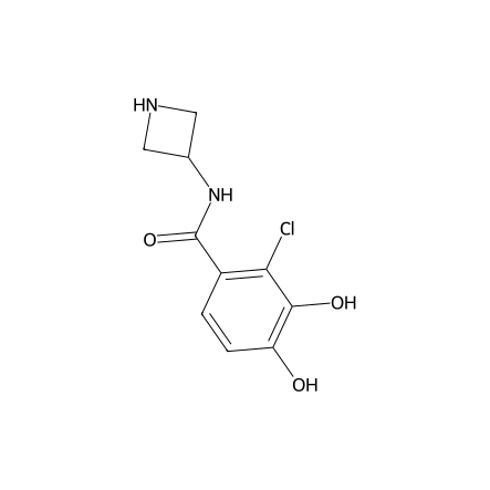 O=C(NC1CNC1)c1ccc(O)c(O)c1Cl